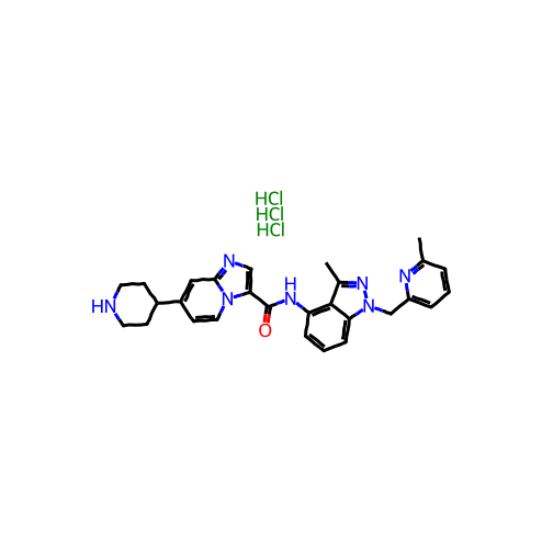 Cc1cccc(Cn2nc(C)c3c(NC(=O)c4cnc5cc(C6CCNCC6)ccn45)cccc32)n1.Cl.Cl.Cl